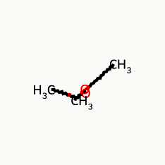 CCCCCCCCCCCCCCCCCCOC(=O)CCCCC(C)CCCCCCCCCCCC